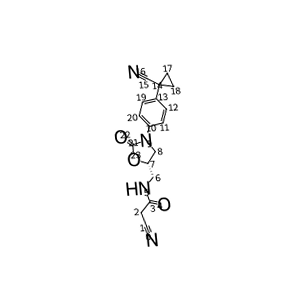 N#CCC(=O)NC[C@H]1CN(c2ccc(C3(C#N)CC3)cc2)C(=O)O1